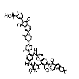 C=CC(=O)Nc1cc(Nc2nc(-c3ccnc(N4CCn5c(cc6c5CC(C)(C)C6)C4=O)c3CO)cnc2OC)ccc1N1CCN(C2CCN(c3ccc4c(c3)C(=O)N(c3ccnc(C(C)(C)O)c3)C4=O)[C@H](C)C2)C[C@@H]1C